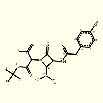 C=C(C)C(C(=O)OC(C)(C)C)N1C(=O)C(NC(=S)Cc2ccc(Cl)cc2)C1[S+]([O-])Cl